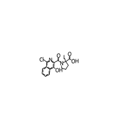 O=C(c1nc(Cl)c2ccccc2c1O)N1CCCC1(I)C(=O)O